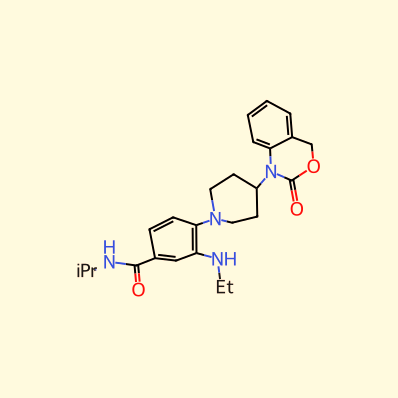 CCNc1cc(C(=O)NC(C)C)ccc1N1CCC(N2C(=O)OCc3ccccc32)CC1